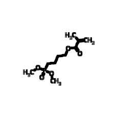 C=C(C)C(=O)OCCCCP(=O)(OC)OC